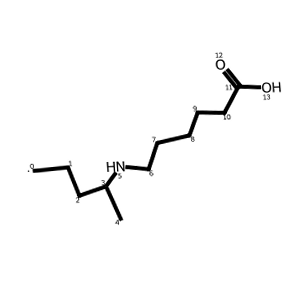 [CH2]CCC(C)NCCCCCC(=O)O